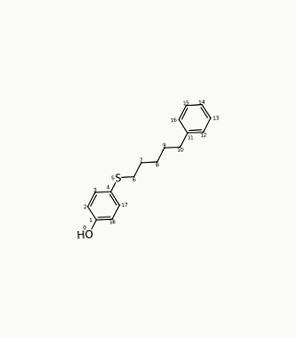 Oc1ccc(SCCCCCc2ccccc2)cc1